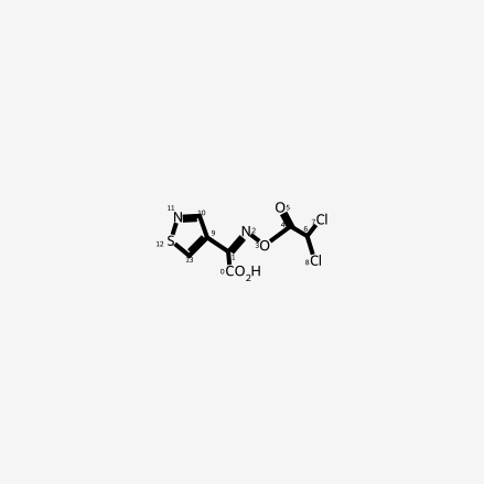 O=C(O)C(=NOC(=O)C(Cl)Cl)c1cnsc1